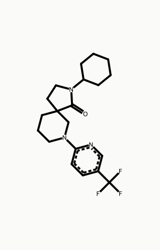 O=C1N(C2CCCCC2)CCC12CCCN(c1ccc(C(F)(F)F)cn1)C2